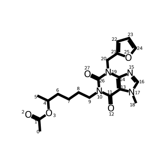 CC(=O)OC(C)CCCCn1c(=O)c2c(ncn2C)n(Cc2ccco2)c1=O